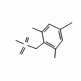 Cc1cc(C)c(CS(=O)(=O)C(F)(F)F)c(C)c1